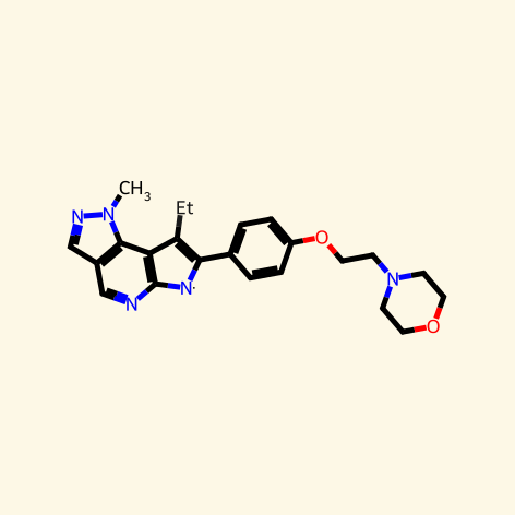 CCC1=C(c2ccc(OCCN3CCOCC3)cc2)[N]c2ncc3cnn(C)c3c21